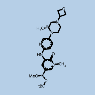 COB(OC(C)(C)C)c1cc(Nc2ccc(N3CCN(C4COC4)C[C@@H]3C)cn2)c(=O)n(C)c1